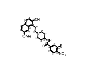 COc1ccc2ncc(C#N)c(CCN3CCC(NC(=O)c4ccc([N+](=O)[O-])c(F)c4)CC3)c2c1